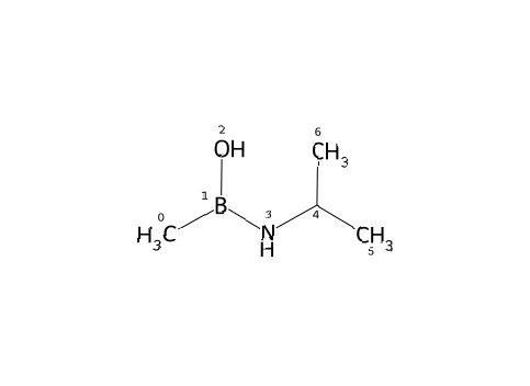 CB(O)NC(C)C